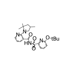 CC1CN(c2ncccc2C(=O)NS(=O)(=O)c2cccc(OC(C)(C)C)n2)C(C)(C)C1